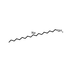 CCCCCCCCCCCCCCCCCC[SiH3].[Na]